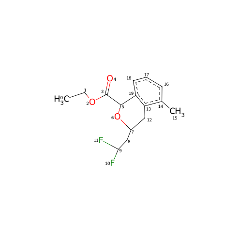 CCOC(=O)C1OC(CC(F)F)Cc2c(C)cccc21